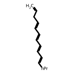 [CH2]CCC=CC=CC=CC=CCC=C